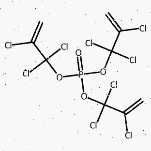 C=C(Cl)C(Cl)(Cl)OP(=O)(OC(Cl)(Cl)C(=C)Cl)OC(Cl)(Cl)C(=C)Cl